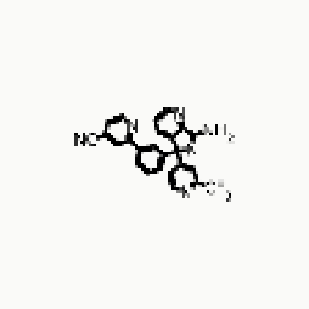 N#Cc1ccnc(-c2cccc(C3(c4ccnc(C(F)(F)F)c4)N=C(N)c4ncccc43)c2)c1